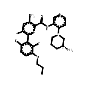 CCCOc1ccc(F)c(-c2nc(C(=O)Nc3cnccc3N3CCC[C@H](N)C3)c(N)cc2F)c1F